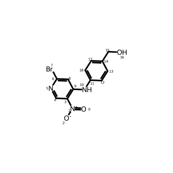 O=[N+]([O-])c1cnc(Br)cc1Nc1ccc(CO)cc1